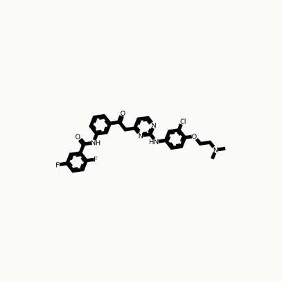 CN(C)CCOc1ccc(Nc2nccc(CC(=O)c3cccc(NC(=O)c4cc(F)ccc4F)c3)n2)cc1Cl